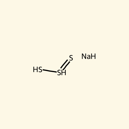 S=[SH]S.[NaH]